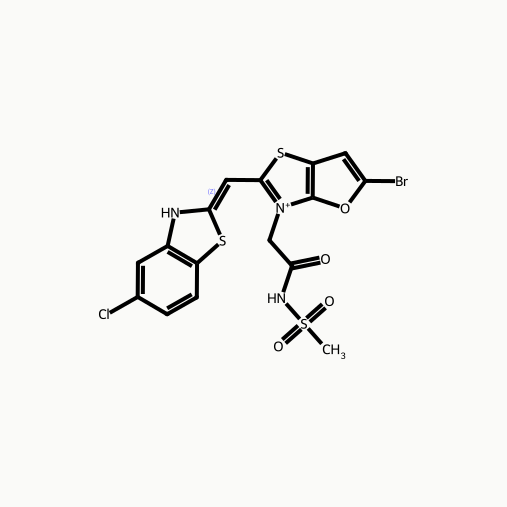 CS(=O)(=O)NC(=O)C[n+]1c(/C=C2/Nc3cc(Cl)ccc3S2)sc2cc(Br)oc21